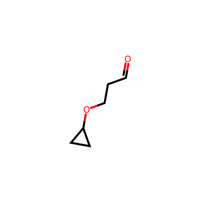 O=CCCOC1CC1